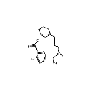 CC(CO)CCCC1CCCCC1.O=C([O-])c1ccccc1.[Na+]